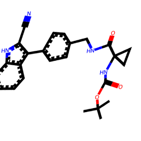 CC(C)(C)OC(=O)NC1(C(=O)NCc2ccc(-c3c(C#N)[nH]c4ccccc34)cc2)CC1